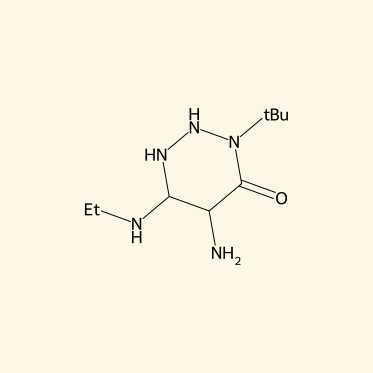 CCNC1NNN(C(C)(C)C)C(=O)C1N